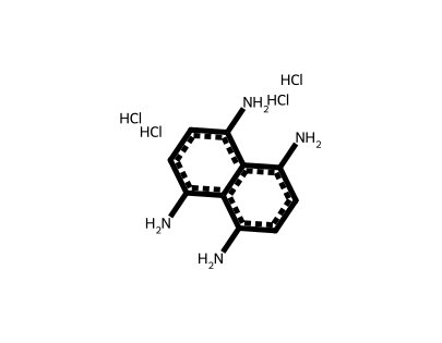 Cl.Cl.Cl.Cl.Nc1ccc(N)c2c(N)ccc(N)c12